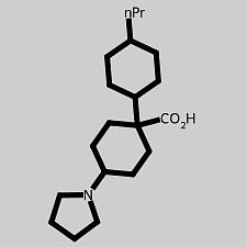 CCCC1CCC(C2(C(=O)O)CCC(N3CCCC3)CC2)CC1